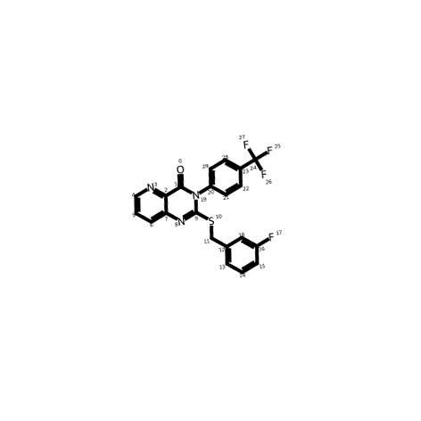 O=c1c2ncccc2nc(SCc2cccc(F)c2)n1-c1ccc(C(F)(F)F)cc1